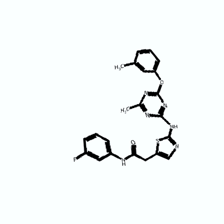 Cc1cccc(Oc2nc(C)nc(Nc3ncc(CC(=O)Nc4cccc(F)c4)s3)n2)c1